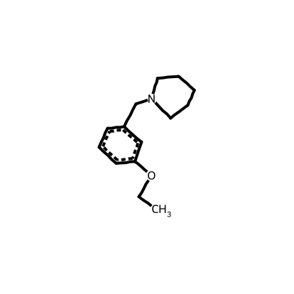 CCOc1cccc(CN2CCCCC2)c1